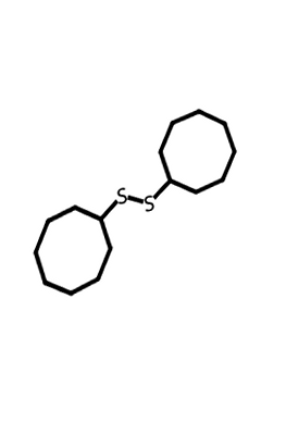 C1CCCC(SSC2CCCCCCC2)CCC1